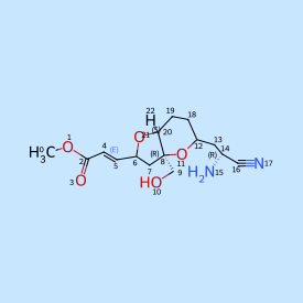 COC(=O)/C=C/C1C[C@]2(CO)OC(C[C@@H](N)C#N)CC[C@@H]2O1